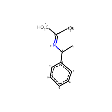 CC(N=C(C(=O)O)C(C)(C)C)c1ccccc1